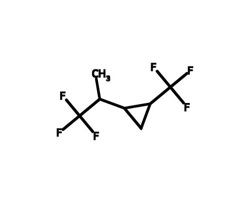 CC(C1CC1C(F)(F)F)C(F)(F)F